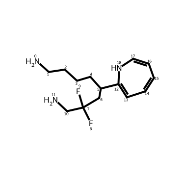 NCCCCC(CC(F)(F)CN)C1=CC=CC=CN1